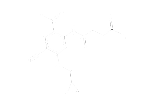 N#Cc1cc([N+](=O)[O-])c(NC(=O)CCC(=O)O)cc1OCC1CC1